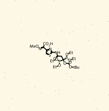 CCOP(OCC)C(CC(=O)Nc1nc(/C(=N/OC)C(=O)O)cs1)(OC(=O)OC(C)(C)C)P(OCC)OCC